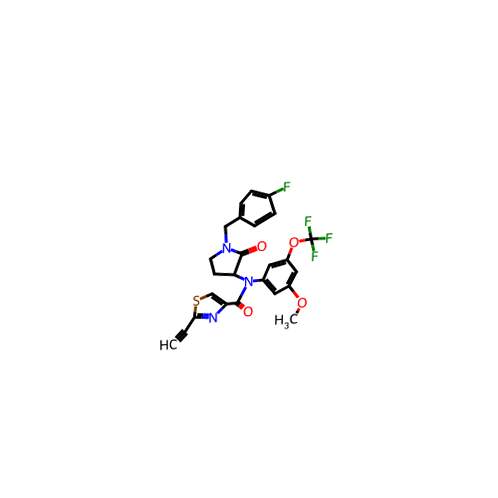 C#Cc1nc(C(=O)N(c2cc(OC)cc(OC(F)(F)F)c2)C2CCN(Cc3ccc(F)cc3)C2=O)cs1